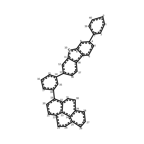 c1ccc(-c2ccc3c(c2)sc2cc(-c4cccc(-c5ccc6ccc7cccc8ccc5c6c78)c4)ccc23)cc1